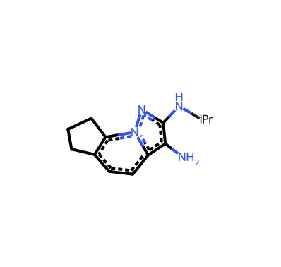 CC(C)Nc1nn2c3c(ccc2c1N)CCC3